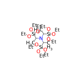 CCO[Si](OCC)(OCC)C(C)N(C(C)[Si](OCC)(OCC)OCC)C(C)[Si](OCC)(OCC)OCC